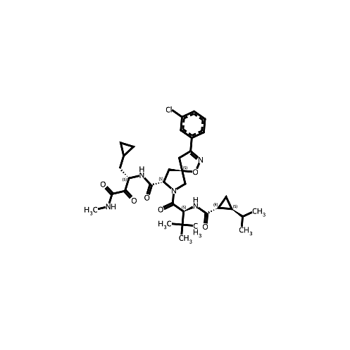 CNC(=O)C(=O)[C@H](CC1CC1)NC(=O)[C@@H]1C[C@]2(CC(c3cccc(Cl)c3)=NO2)CN1C(=O)[C@@H](NC(=O)[C@@H]1C[C@H]1C(C)C)C(C)(C)C